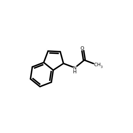 CC(=O)NC1C=Cc2ccccc21